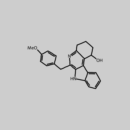 COc1ccc(Cc2nc3c(c4c2[nH]c2ccccc24)C(O)CCC3)cc1